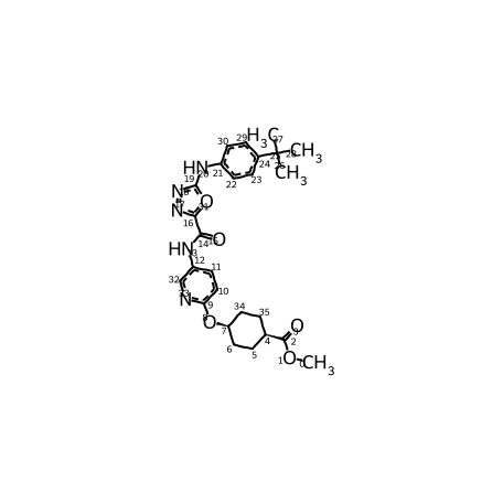 COC(=O)[C@H]1CC[C@@H](Oc2ccc(NC(=O)c3nnc(Nc4ccc(C(C)(C)C)cc4)o3)cn2)CC1